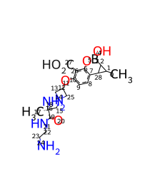 CC1C2B(O)Oc3c(ccc(OC4CN(C[C@](C)(N)C(=O)NCCN)C4)c3C(=O)O)C12